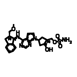 COC[C@@H]1Cc2ccccc2[C@@H]1Nc1ncnc2c1ccn2C1C[C@@H](COS(N)(=O)=O)[C@@H](O)C1